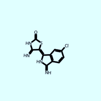 N=C1NC(=O)S/C1=C1/NC(=N)c2ccc(Cl)cc21